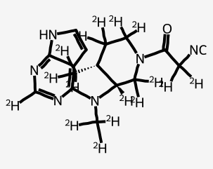 [2H]c1nc(N(C([2H])([2H])[2H])[C@]2([2H])[C@H](C([2H])([2H])[2H])C([2H])([2H])C([2H])([2H])N(C(=O)C([2H])([2H])[N+]#[C-])C2([2H])[2H])c2cc[nH]c2n1